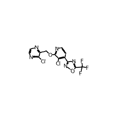 FC(F)(F)c1nc(-c2ccnc(OCc3nccnc3Cl)c2Cl)no1